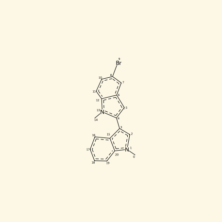 Cn1cc(-c2[c]c3cc(Br)ccc3n2C)c2ccccc21